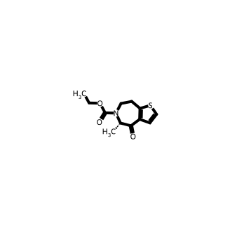 CCOC(=O)N1CCc2sccc2C(=O)[C@@H]1C